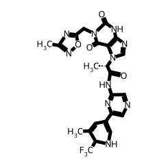 CC1=CC(c2cncc(NC(=O)[C@H](C)n3cnc4[nH]c(=O)n(Cc5nc(C)no5)c(=O)c43)n2)=CNC1C(F)(F)F